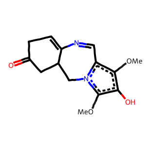 COc1c(O)c(OC)n2c1C=NC1=CCC(=O)CC1C2